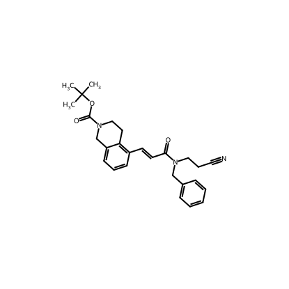 CC(C)(C)OC(=O)N1CCc2c(/C=C/C(=O)N(CCC#N)Cc3ccccc3)cccc2C1